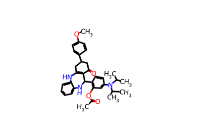 COc1ccc(C2CC(=O)C3=C(C2)Nc2ccccc2NC3c2ccc(N(C(C)C)C(C)C)cc2OC(C)=O)cc1